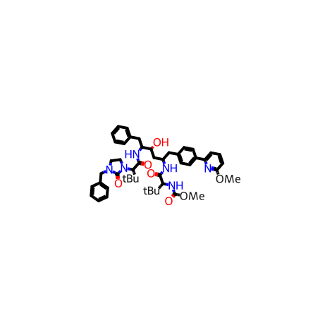 COC(=O)NC(C(=O)NC(Cc1ccc(-c2cccc(OC)n2)cc1)CC(O)C(Cc1ccccc1)NC(=O)C(N1CCN(Cc2ccccc2)C1=O)C(C)(C)C)C(C)(C)C